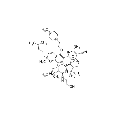 CC(C)=CCCC1(C)C=Cc2c(c(CC=C(C)C)c3c(c2OCCN2CCN(C)CC2)C2=C4C(C(C#N)=C(N)N2)C2CC5C(C)(C)OC(C/C=C(/C)C(=O)NCCO)(C2=O)C45O3)O1